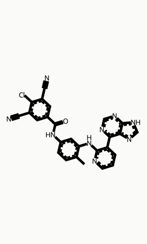 Cc1ccc(NC(=O)c2cc(C#N)c(Cl)c(C#N)c2)cc1Nc1ncccc1-c1ncnc2[nH]cnc12